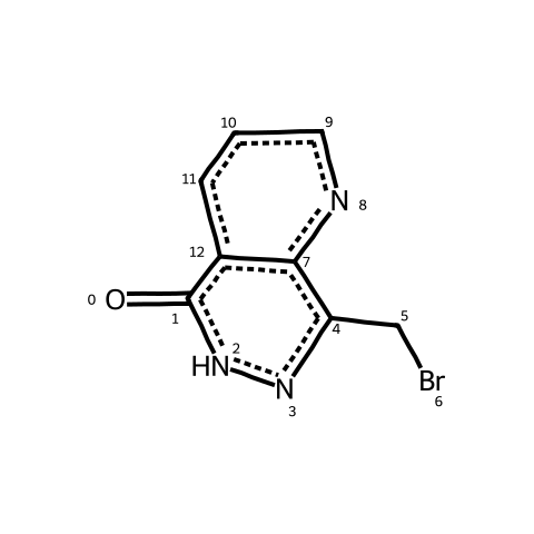 O=c1[nH]nc(CBr)c2ncccc12